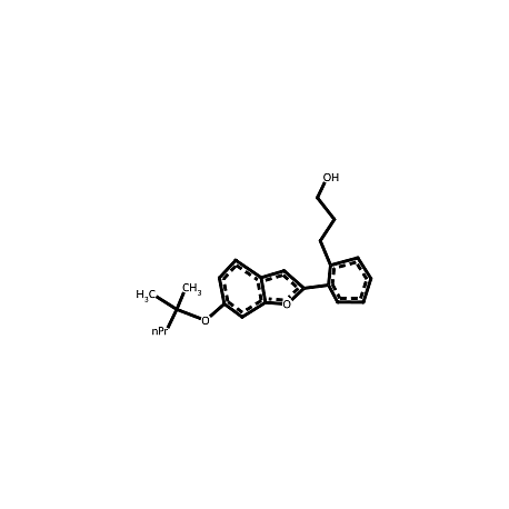 CCCC(C)(C)Oc1ccc2cc(-c3ccccc3CCCO)oc2c1